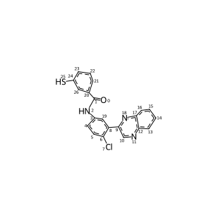 O=C(Nc1ccc(Cl)c(-c2cnc3ccccc3n2)c1)c1cccc(S)c1